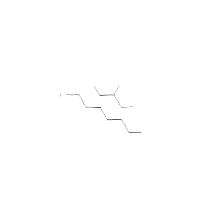 CCCCCCCCCCCCCCCC(C)C.OCC(O)CO